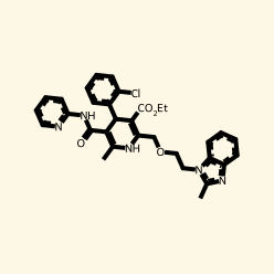 CCOC(=O)C1=C(COCCn2c(C)nc3ccccc32)NC(C)=C(C(=O)Nc2ccccn2)C1c1ccccc1Cl